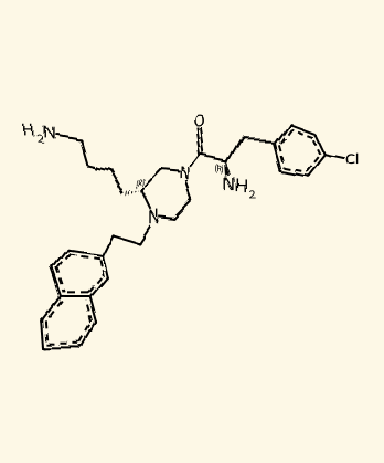 NCCCC[C@@H]1CN(C(=O)[C@H](N)Cc2ccc(Cl)cc2)CCN1CCc1ccc2ccccc2c1